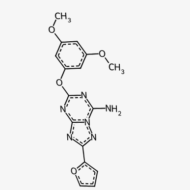 COc1cc(OC)cc(Oc2nc(N)n3nc(-c4ccco4)nc3n2)c1